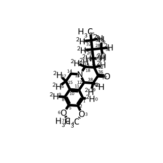 [2H]c1c(OC)c(OC)c([2H])c2c1C1N(CC2([2H])[2H])C([2H])([2H])C([2H])(C([2H])([2H])C([2H])(C([2H])([2H])[2H])C([2H])([2H])C)C(=O)C1([2H])[2H]